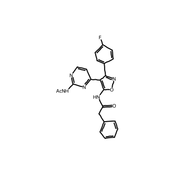 CC(=O)Nc1nccc(-c2c(-c3ccc(F)cc3)noc2NC(=O)Cc2ccccc2)n1